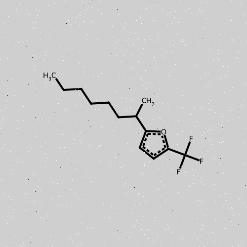 CCCCCCC(C)c1ccc(C(F)(F)F)o1